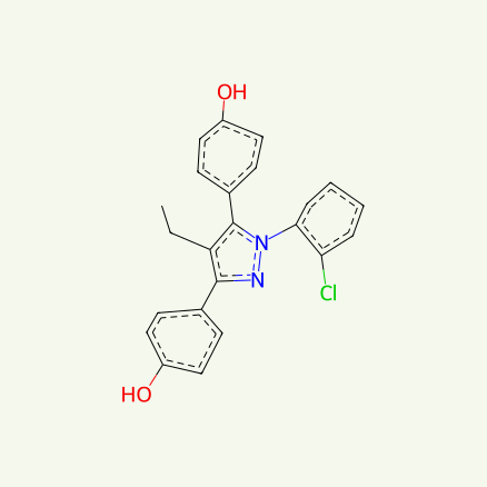 CCc1c(-c2ccc(O)cc2)nn(-c2ccccc2Cl)c1-c1ccc(O)cc1